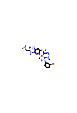 C=N/C(=N\C(=N/C)Nc1cc(N)c(N(C)CCN(C)C)cc1OC)Nc1cccc(Br)c1